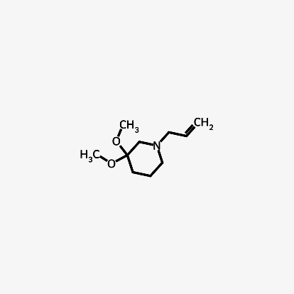 C=CCN1CCCC(OC)(OC)C1